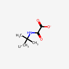 CC(C)(C)NC(=O)C(=O)[O-].[Li+]